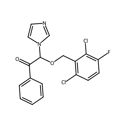 O=C(c1ccccc1)C(OCc1c(Cl)ccc(F)c1Cl)n1ccnc1